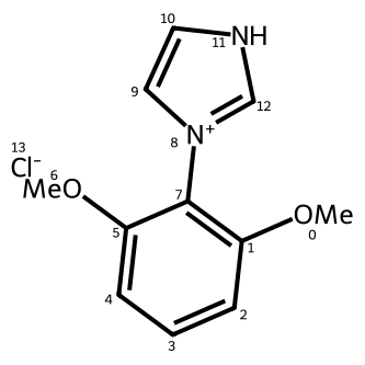 COc1cccc(OC)c1-[n+]1cc[nH]c1.[Cl-]